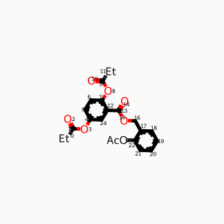 CCC(=O)Oc1ccc(OC(=O)CC)c(C(=O)OCc2ccccc2OC(C)=O)c1